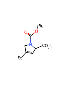 CCC1=CC(C(=O)O)N(C(=O)OC(C)(C)C)C1